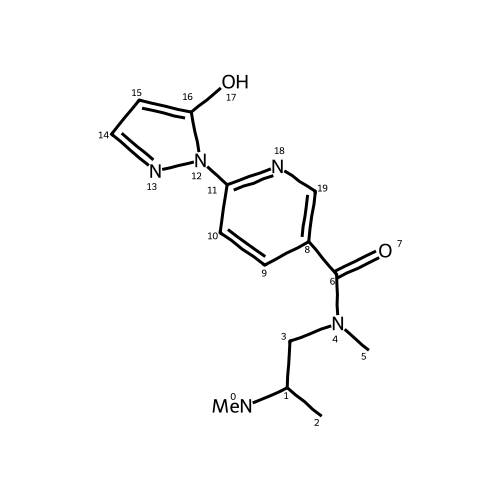 CNC(C)CN(C)C(=O)c1ccc(-n2nccc2O)nc1